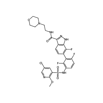 COc1ncc(Cl)cc1S(=O)(=O)Nc1ccc(F)c(-c2ccc3c(C(=O)NCCN4CCOCC4)n[nH]c3c2F)c1F